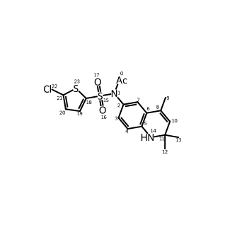 CC(=O)N(c1ccc2c(c1)C(C)=CC(C)(C)N2)S(=O)(=O)c1ccc(Cl)s1